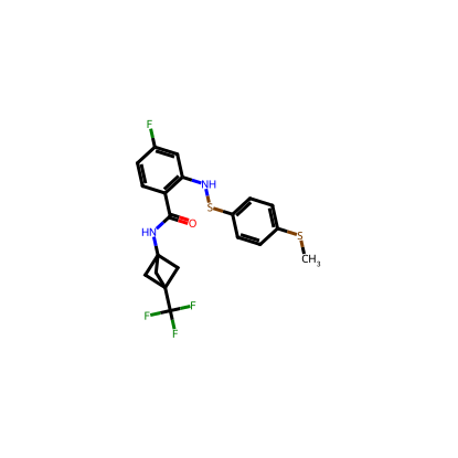 CSc1ccc(SNc2cc(F)ccc2C(=O)NC23CC(C(F)(F)F)(C2)C3)cc1